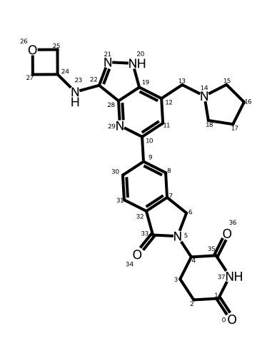 O=C1CCC(N2Cc3cc(-c4cc(CN5CCCC5)c5[nH]nc(NC6COC6)c5n4)ccc3C2=O)C(=O)N1